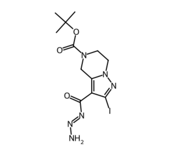 CC(C)(C)OC(=O)N1CCn2nc(I)c(C(=O)N=NN)c2C1